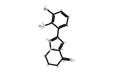 Cc1c(Br)cccc1-c1cc2n(n1)CCCC2=O